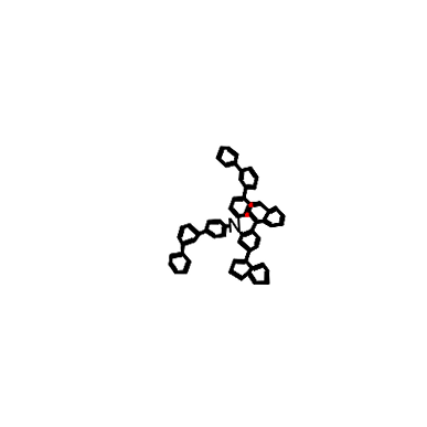 c1ccc(-c2cccc(-c3ccc(N(c4ccc(-c5cccc(-c6ccccc6)c5)cc4)c4cc(-c5cccc6ccccc56)ccc4-c4cccc5ccccc45)cc3)c2)cc1